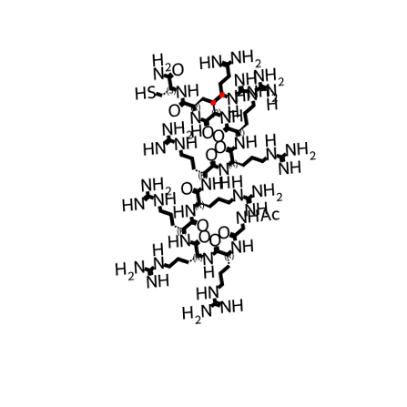 CC(=O)NCC(=O)N[C@H](CCCNC(=N)N)C(=O)N[C@H](CCCNC(=N)N)C(=O)N[C@H](CCCNC(=N)N)C(=O)N[C@H](CCCNC(=N)N)C(=O)N[C@H](CCCNC(=N)N)C(=O)N[C@H](CCCNC(=N)N)C(=O)N[C@H](CCCNC(=N)N)C(=O)N[C@H](CCCCC(=N)N)C(=O)N[C@H](CCCNC(=N)N)C(=O)N[C@H](CS)C(N)=O